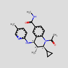 CNC(=O)c1ccc2c(c1)[C@H](Nc1ccc(C)cn1)[C@@H](C)[C@H](C1CC1)N2C(C)=O